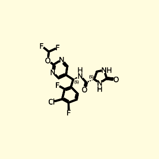 O=C1NC[C@@H](C(=O)N[C@@H](c2cnc(OC(F)F)nc2)c2ccc(F)c(Cl)c2F)N1